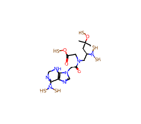 CC(C)(CC(CN(CC(=O)OS)C(=O)Cn1cnc2c1NCN=C2N(S)S)N(S)S)OS